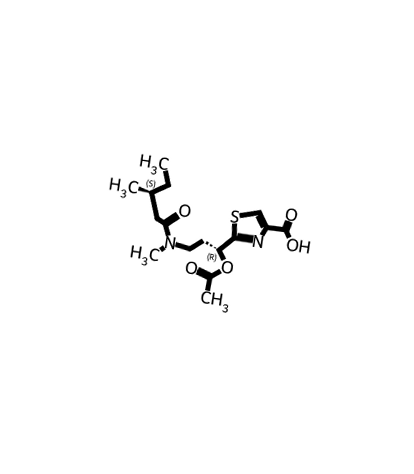 CC[C@H](C)CC(=O)N(C)CC[C@@H](OC(C)=O)c1nc(C(=O)O)cs1